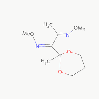 CON=C(C)C(=NOC)C1(C)OCCCO1